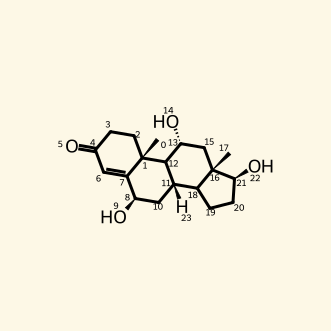 C[C@]12CCC(=O)C=C1[C@H](O)C[C@@H]1C2[C@H](O)C[C@@]2(C)C1CC[C@@H]2O